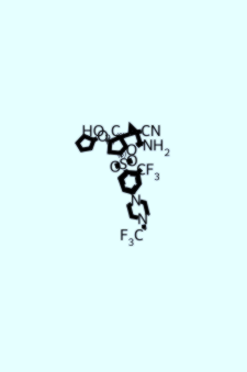 N#CC1(C(N)=O)CC1[C@@]1(C(=O)O)C[C@H](S(=O)(=O)c2ccc(N3CCN(CC(F)(F)F)CC3)cc2C(F)(F)F)C[C@@H]1OC1CCCC1